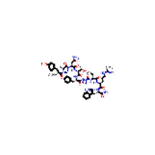 CNC(=N)NCCC[C@H](NC(=O)[C@H](CC(C)C)NC(=O)NNC(=O)[C@H](Cc1ccccc1)NC(=O)[C@@H](NC(=O)[C@H](CC(N)=O)NC(=O)[C@H](C)N(C)C(=O)[C@@H](Cc1ccc(O)cc1)NC(C)=O)[C@@H](C)O)C(=O)N[C@@H](Cc1c[nH]c2ccccc12)C(N)=O